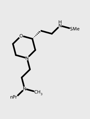 CCCN(C)CCN1CCO[C@H](CCNSC)C1